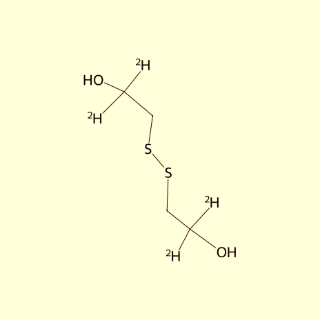 [2H]C([2H])(O)CSSCC([2H])([2H])O